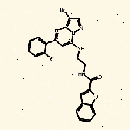 O=C(NCCNc1cc(-c2ccccc2Cl)nc2c(Br)cnn12)c1cc2ccccc2o1